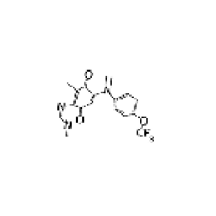 C=N/C=N\C1=C(C)C(=O)C(Nc2ccc(OC(F)(F)F)cc2)=CC1=O